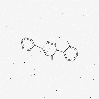 Ic1ccccc1N1N=NC(c2ccccc2)=CN1